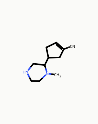 CN1CCNCC1C1CC=C(C#N)C1